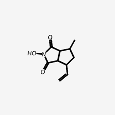 C=CC1CC(C)C2C(=O)N(O)C(=O)C12